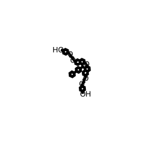 Oc1ccc(OCCOc2ccc3c4c(ccc3c2)Oc2ccc3cc(OCCOc5ccc(O)cc5)ccc3c2C4c2ccc(-c3ccccc3)cc2)cc1